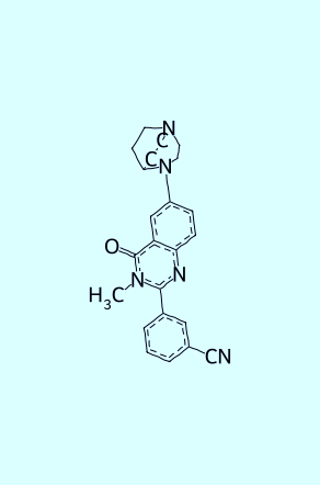 Cn1c(-c2cccc(C#N)c2)nc2ccc(N3CCN4CCC3CC4)cc2c1=O